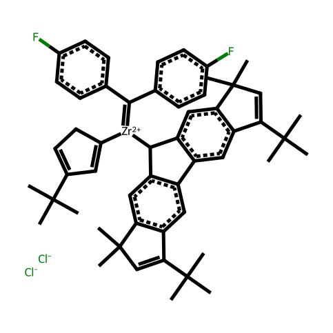 CC(C)(C)C1=CC[C]([Zr+2](=[C](c2ccc(F)cc2)c2ccc(F)cc2)[CH]2c3cc4c(cc3-c3cc5c(cc32)C(C)(C)C=C5C(C)(C)C)C(C(C)(C)C)=CC4(C)C)=C1.[Cl-].[Cl-]